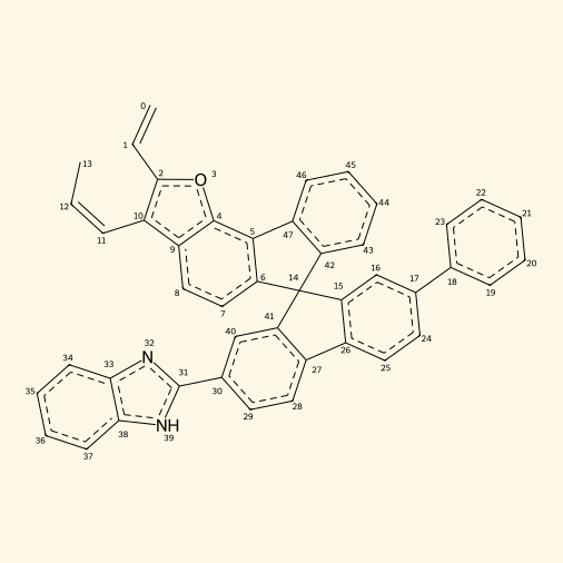 C=Cc1oc2c3c(ccc2c1/C=C\C)C1(c2cc(-c4ccccc4)ccc2-c2ccc(-c4nc5ccccc5[nH]4)cc21)c1ccccc1-3